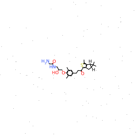 Cc1cc(CCC(=O)c2sc(C)c3c2C[C@@H]2[C@H]3C2(C)C)cc(C)c1OCC(O)CNC(=O)CN